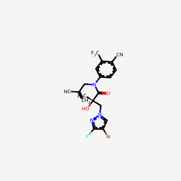 C=C(C#N)CN(C(=O)[C@@](C)(O)Cn1cc(Br)c(F)n1)c1ccc(C#N)c(C(F)(F)F)c1